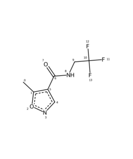 Cc1oncc1C(=O)NCC(F)(F)F